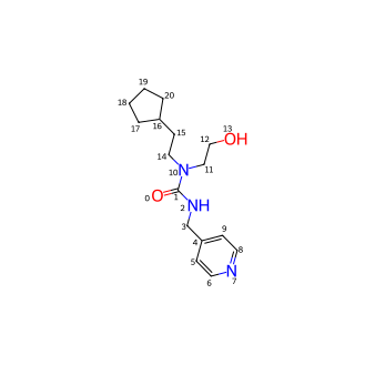 O=C(NCc1ccncc1)N(CCO)CCC1CCCC1